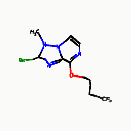 CN1C(Br)N=C2C(OCCC(F)(F)F)=NC=CN21